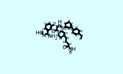 CCc1ccc(-c2cccc(SN[C@@H](Cc3cccc(/C(N)=N\O)c3)C(=O)N3CCC(CCCC(=O)NC)CC3)c2)cc1